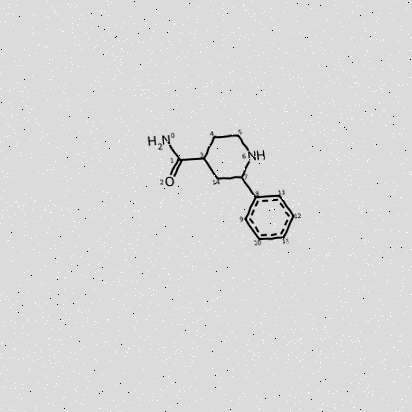 NC(=O)C1CCNC(c2ccccc2)C1